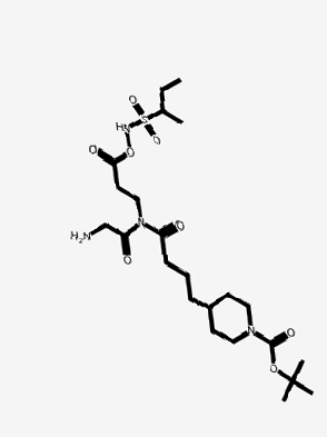 CCC(C)S(=O)(=O)NOC(=O)CCN(C(=O)CN)C(=O)CCCC1CCN(C(=O)OC(C)(C)C)CC1